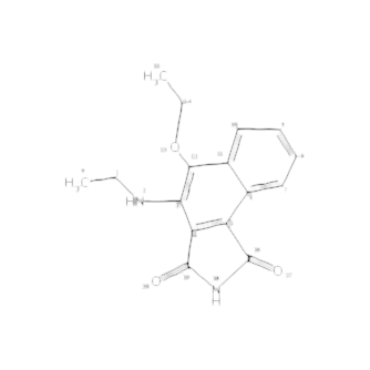 CCNc1c2c(c3ccccc3c1OCC)C(=O)NC2=O